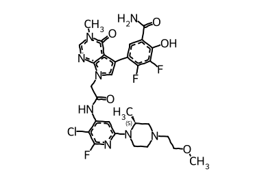 COCCN1CCN(c2cc(NC(=O)Cn3cc(-c4cc(C(N)=O)c(O)c(F)c4F)c4c(=O)n(C)cnc43)c(Cl)c(F)n2)[C@@H](C)C1